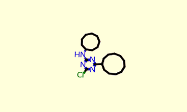 Clc1nc(NC2CCCCCCCC2)nc(C2CCCCCCCCCC2)n1